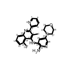 Cc1c(-c2ccccn2)nc2cccc(F)c2c1Nc1cc(N2CCOCC2)cnc1N